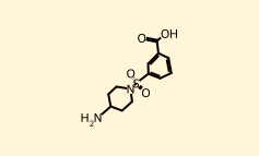 NC1CCN(S(=O)(=O)c2cccc(C(=O)O)c2)CC1